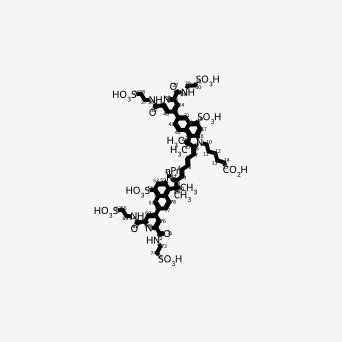 CCC[N+]1=C(/C=C/C=C/C=C2/N(CCCCCC(=O)O)c3cc(S(=O)(=O)O)c4cc(-c5cc(C(=O)NCCS(=O)(=O)O)nc(C(=O)NCCS(=O)(=O)O)c5)ccc4c3C2(C)C)C(C)(C)c2c1cc(S(=O)(=O)O)c1cc(-c3cc(C(=O)NCCS(=O)(=O)O)nc(C(=O)NCCS(=O)(=O)O)c3)ccc21